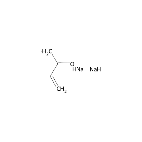 [CH2]C(=O)C=C.[NaH].[NaH]